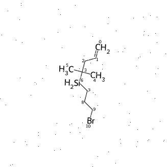 C=CCC(C)(C)[SiH2]CCCBr